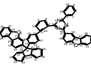 c1ccc(-c2nc(-c3cccc(-c4ccc(C5(c6ccc7c(c6)oc6ccccc67)c6ccccc6-c6ccccc65)cc4)c3)nc(-c3ccc4oc5ccccc5c4c3)n2)cc1